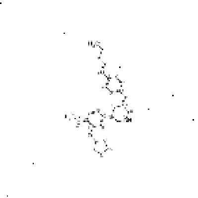 CCCCOc1ccc(/C=C2/CNC[C@H](c3ccc(OC)c(OC4CCCC4)c3)C2)cc1